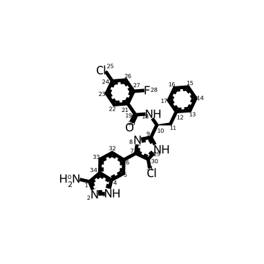 Nc1n[nH]c2cc(-c3nc([C@H](Cc4ccccc4)NC(=O)c4ccc(Cl)cc4F)[nH]c3Cl)ccc12